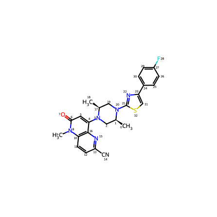 C[C@H]1CN(c2cc(=O)n(C)c3ccc(C#N)nc23)[C@@H](C)CN1c1nc(-c2ccc(F)cc2)cs1